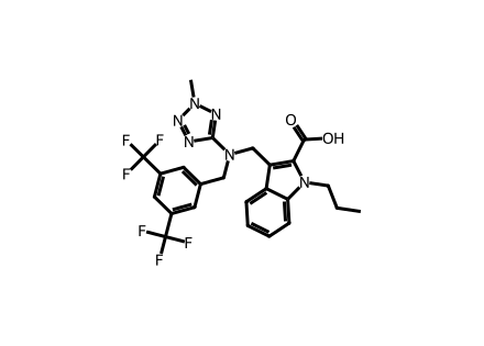 CCCn1c(C(=O)O)c(CN(Cc2cc(C(F)(F)F)cc(C(F)(F)F)c2)c2nnn(C)n2)c2ccccc21